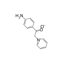 Nc1ccc(C(=O)C[n+]2ccccc2)cc1.[Cl-]